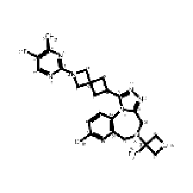 Cc1nc(N2CC3(CC(c4nnc5n4-c4ccc(Cl)cc4CN(C4(C(F)(F)F)COC4)C5)C3)C2)ncc1F